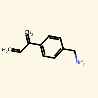 C=CC(=C)c1ccc(CN)cc1